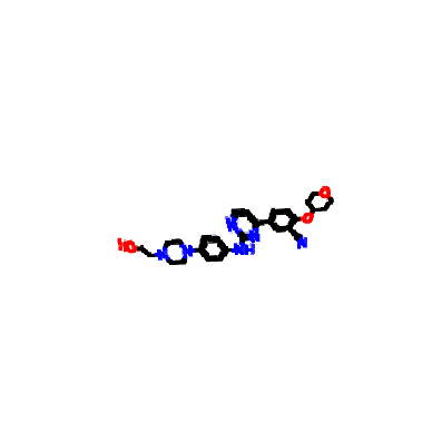 N#Cc1cc(-c2ccnc(Nc3ccc(N4CCN(CCO)CC4)cc3)n2)ccc1OC1CCOCC1